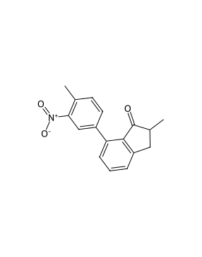 Cc1ccc(-c2cccc3c2C(=O)C(C)C3)cc1[N+](=O)[O-]